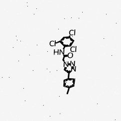 Cc1ccc(-c2cn(CC(=O)Nc3c(Cl)cc(Cl)cc3Cl)nn2)cc1